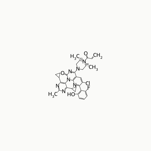 C=CC(=O)N1[C@H](C)CN(c2nc(=O)n(-c3c(C4CC4)nc(C)nc3C3CC3)c3nc(-c4c(O)cccc4F)c(Cl)cc23)C[C@@H]1C